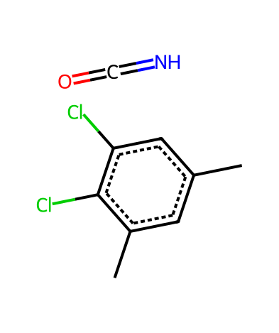 Cc1cc(C)c(Cl)c(Cl)c1.N=C=O